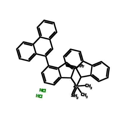 CCCC1=Cc2c(-c3cc4ccccc4c4ccccc34)cccc2[CH]1[Zr]([CH3])([CH3])(=[SiH2])[CH]1c2ccccc2-c2ccccc21.Cl.Cl